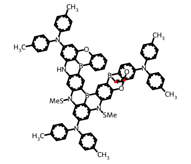 CSN1c2cc3c(cc2B2c4cc5c(cc4N(SC)c4cc(N(c6ccc(C)cc6)c6ccc(C)cc6)cc1c42)Oc1cc(N(c2ccc(C)cc2)c2ccc(C)cc2)cc2c1B5c1ccccc1O2)B1c2ccccc2Oc2cc(N(c4ccc(C)cc4)c4ccc(C)cc4)cc(c21)N3